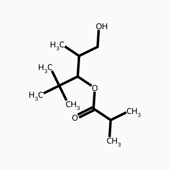 CC(C)C(=O)OC(C(C)CO)C(C)(C)C